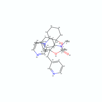 CCCCN(CCCC)C1CCCCC1(Cc1cccnc1)OC(=O)OC1(Cc2cccnc2)CCCCC1N(CCCC)CCCC